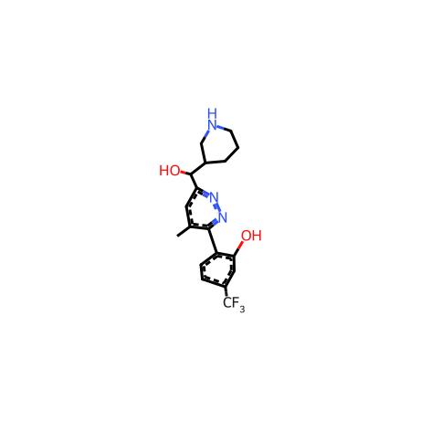 Cc1cc(C(O)C2CCCNC2)nnc1-c1ccc(C(F)(F)F)cc1O